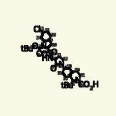 CC(C)(C)OC(=O)n1c(S(=O)(=O)N[C@H]2CCN(c3ccc4c(c3)CCN(C(=O)O)C4C(C)(C)C)C2=O)cc2ccc(Cl)cc21